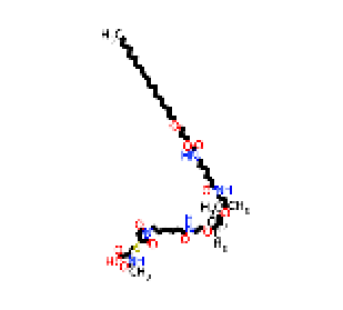 CCCCCCCCCCCCCCCCCCOCCCOC(=O)NCCCCCC(=O)NCCC(C)(C)OCCC(C)(C)OCCNC(=O)CCCCCN1C(=O)CC(SC[C@@H](NC(C)=O)C(=O)O)C1=O